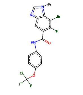 CC(C)n1cnc2cc(C(=O)Nc3ccc(OC(F)(F)Cl)cc3)c(F)c(Br)c21